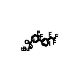 CC(C)(C)OC(=O)N1CCC(F)(F)C(c2ccnc(C(F)C(F)F)c2)C1